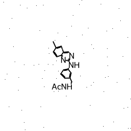 CC(=O)NCc1cccc(Nc2ncc3cc(C)ccc3n2)c1